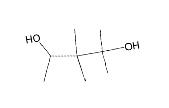 CC(O)C(C)(C)C(C)(C)O